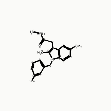 COc1ccc2c(c1)c(CC(=O)NN)c(C)n2Cc1cccc(Cl)c1